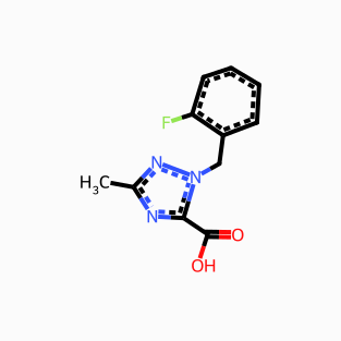 Cc1nc(C(=O)O)n(Cc2ccccc2F)n1